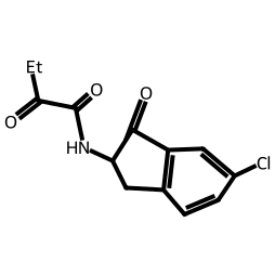 CCC(=O)C(=O)NC1Cc2ccc(Cl)cc2C1=O